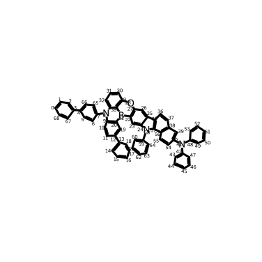 c1ccc(-c2ccc(N3c4ccc(-c5ccccc5)cc4B4c5cc6c(cc5Oc5cccc3c54)c3ccc4cc(N(c5ccccc5)c5ccccc5)ccc4c3n6-c3ccccc3)cc2)cc1